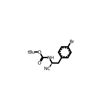 CC(C)(C)OC(=O)N[C@H](C#N)Cc1ccc(Br)cc1